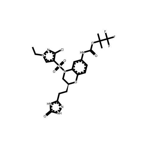 CCn1cc(S(=O)(=O)N2C[C@H](CCc3n[nH]c(=O)[nH]3)Oc3ccc(NC(=O)OC(C)(C)C(F)(F)F)cc32)c(Cl)n1